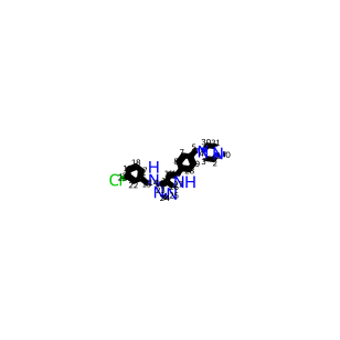 CN1CCN(Cc2ccc(-c3cc4c(NCc5cccc(Cl)c5)ncnc4[nH]3)cc2)CC1